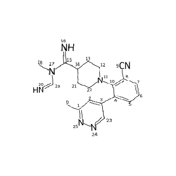 Cc1cc(-c2cccc(C#N)c2N2CCC(C(=N)N(C)C=N)CC2)cnn1